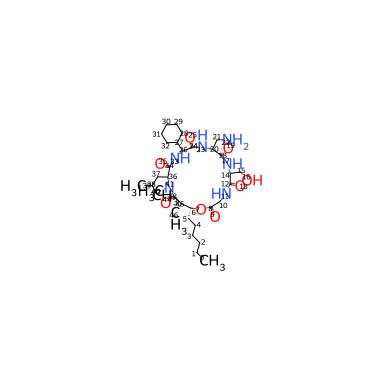 CCCCCC[C@H]1OC(=O)CNC(=O)C(CO)NC(=O)C(CN)NC(=O)C(C2CCCCC2)NC(=O)C(CC(C)C)N(C)C(=O)C1C